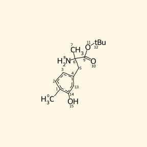 Cc1ccc(CC(C)(N)C(=O)OC(C)(C)C)cc1O